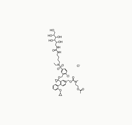 CCN(CCCCNC(=O)NCC(O)C(O)C(O)C(O)CO)S(=O)(=O)c1ccc(Cl)c(COC2(c3c[n+](COC(=O)N(C)CCOC(C)=O)ccc3-c3ccccc3OC3CC3)CC2)c1.[Cl-]